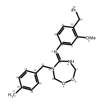 COc1cc(/N=C2\NCOOCN2Cc2ccc(C)cc2)ccc1CC(C)C